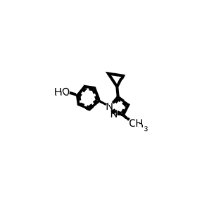 Cc1cc(C2CC2)n(-c2ccc(O)cc2)n1